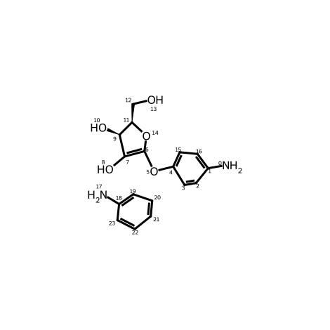 Nc1ccc(OC2=C(O)[C@@H](O)[C@@H](CO)O2)cc1.Nc1ccccc1